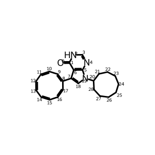 O=c1[nH]cnc2c1c(-c1ccccccccc1)cn2C1CCCCCCCC1